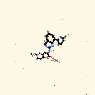 COc1nc2c(cc1Nc1ncc3cccc(-c4cccc(Cl)n4)c3n1)CN(C)CC2